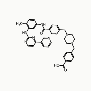 Cc1ccc(NC(=O)c2ccc(CN3CCN(Cc4ccc(C(=O)O)cc4)CC3)cc2)cc1Nc1nccc(-c2cccnc2)n1